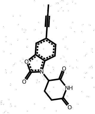 CC#Cc1ccc2c(c1)oc(=O)n2C1CCC(=O)NC1=O